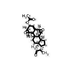 CC(=O)O[C@@H]1C=C2[C@H]3O[C@H]3[C@H]3[C@@H]4CC[C@H](C(C)C=O)[C@@]4(C)CC[C@@H]3[C@@]2(C)[C@H]2O[C@@H]12